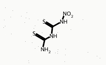 NC(=S)NC(=S)N[N+](=O)[O-]